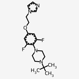 CC(C)(C)N1CCN(c2c(F)cc(OCCn3ccnc3)cc2F)CC1